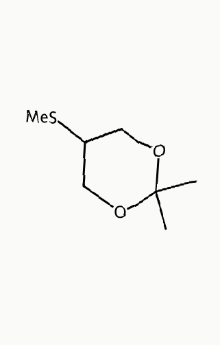 CSC1COC(C)(C)OC1